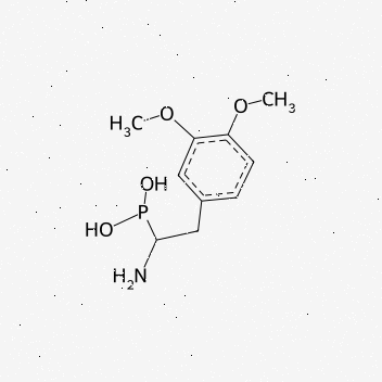 COc1ccc(CC(N)P(O)O)cc1OC